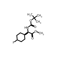 COC(=O)C(NC(=O)OC(C)(C)C)=C1CCC(F)CC1